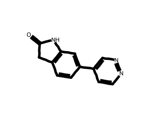 O=C1Cc2ccc(-c3ccnnc3)cc2N1